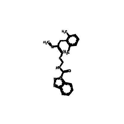 C=N/C(=C\SCNC(=O)n1nnc2ccccc21)Cc1c(C)cccc1C